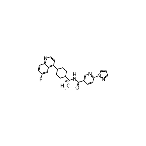 C[C@@H](NC(=O)c1ccc(-n2cccn2)nc1)C1CCC(c2ccnc3ccc(F)cc23)CC1